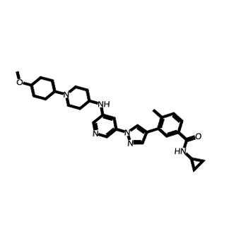 COC1CCC(N2CCC(Nc3cncc(-n4cc(-c5cc(C(=O)NC6CC6)ccc5C)cn4)c3)CC2)CC1